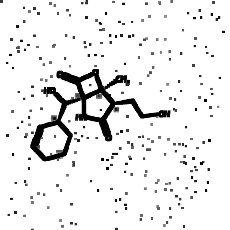 C[C@@]12OC(=O)[C@]1(C(O)[C@@H]1C=CCCC1)NC(=O)[C@@H]2CCO